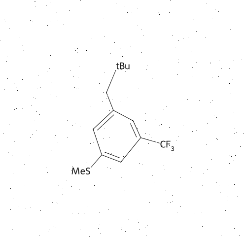 CSc1cc(CC(C)(C)C)cc(C(F)(F)F)c1